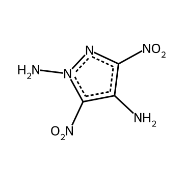 Nc1c([N+](=O)[O-])nn(N)c1[N+](=O)[O-]